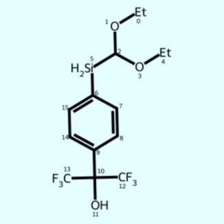 CCOC(OCC)[SiH2]c1ccc(C(O)(C(F)(F)F)C(F)(F)F)cc1